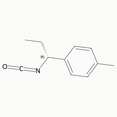 CC[C@@H](N=C=O)c1ccc(C)cc1